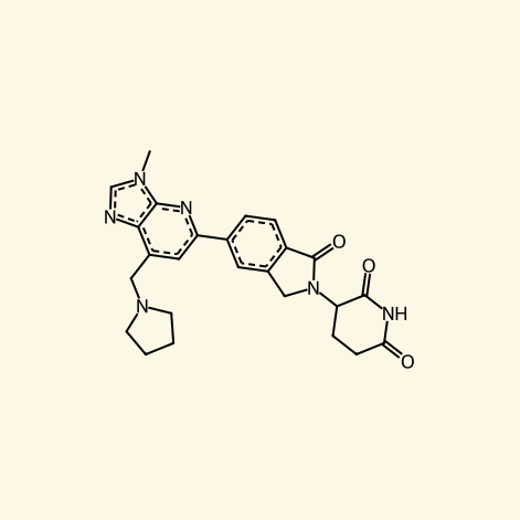 Cn1cnc2c(CN3CCCC3)cc(-c3ccc4c(c3)CN(C3CCC(=O)NC3=O)C4=O)nc21